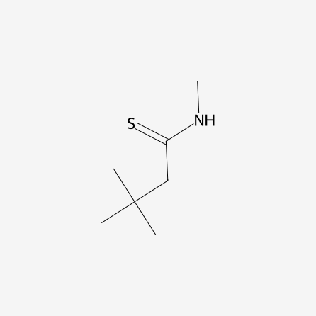 CNC(=S)CC(C)(C)C